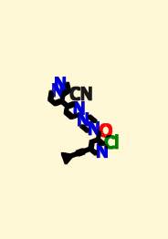 N#Cc1cnn2cccc(-c3ccc(N4CCN(C(=O)c5cc(C#CC6CC6)cnc5Cl)CC4)nc3)c12